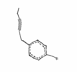 CC#CCc1ccc(F)cc1